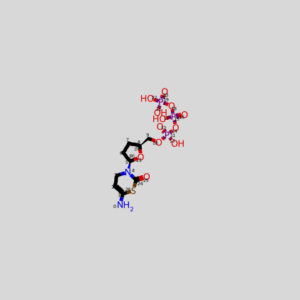 NC1=CCN([C@H]2CC[C@@H](COP(=O)(O)OP(=O)(O)OP(=O)(O)O)O2)C(=O)S1